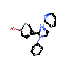 Brc1ccc(-c2nccn2-c2ccccc2)cc1.c1ccncc1